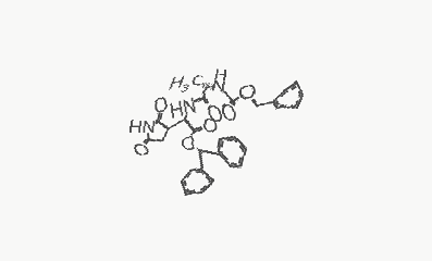 C[C@H](NC(=O)OCc1ccccc1)C(=O)NC(C(=O)OC(c1ccccc1)c1ccccc1)C1CC(=O)NC1=O